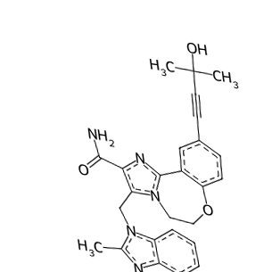 Cc1nc2ccccc2n1Cc1c(C(N)=O)nc2n1CCOc1ccc(C#CC(C)(C)O)cc1-2